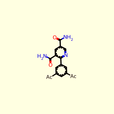 CC(=O)c1cc(C(C)=O)cc(-c2ncc(C(N)=O)cc2C(N)=O)c1